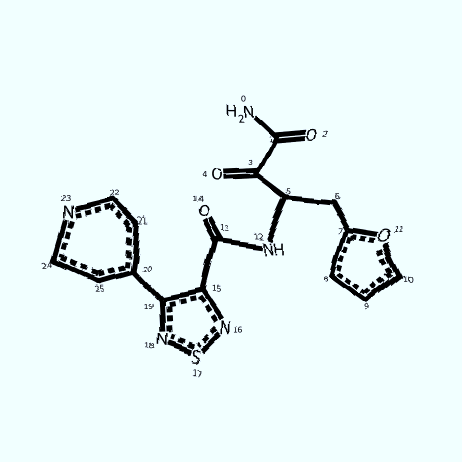 NC(=O)C(=O)C(Cc1ccco1)NC(=O)c1nsnc1-c1ccncc1